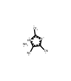 N.N#Cc1nc(C(F)(F)F)[nH]c1C#N